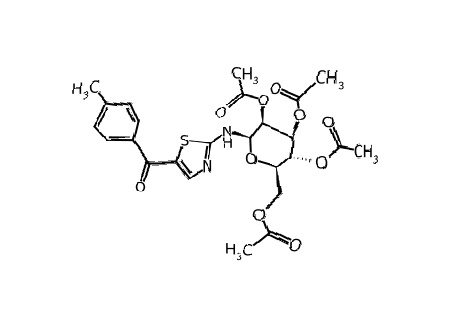 CC(=O)OC[C@H]1O[C@@H](Nc2ncc(C(=O)c3ccc(C)cc3)s2)[C@@H](OC(C)=O)[C@@H](OC(C)=O)[C@@H]1OC(C)=O